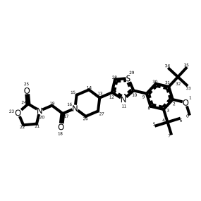 COc1c(C(C)(C)C)cc(-c2nc(C3CCN(C(=O)CN4CCOC4=O)CC3)cs2)cc1C(C)(C)C